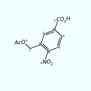 CC(=O)OCc1cc(C(=O)O)ccc1[N+](=O)[O-]